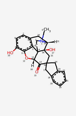 CN1CCC23c4c5ccc(O)c4O[C@H]2C(=O)C2(Cc4ccccc4C2)C[C@@]3(O)[C@H]1C5